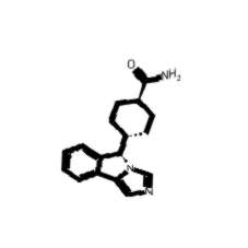 NC(=O)[C@H]1CC[C@H]([C@H]2c3ccccc3-c3cncn32)CC1